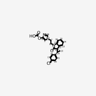 O=C(O)Oc1cn(CCN2C(=O)[C@@]3(C[C@H]3c3ccc(Cl)cc3)c3ccccc32)cn1